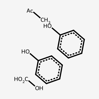 CC(C)=O.O=C(O)O.Oc1ccccc1.Oc1ccccc1